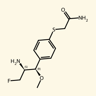 CO[C@H](c1ccc(SCC(N)=O)cc1)[C@H](N)CF